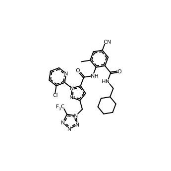 Cc1cc(C#N)cc(C(=O)NCC2CCCCC2)c1NC(=O)c1cc(Cn2nnnc2C(F)(F)F)nn1-c1ncccc1Cl